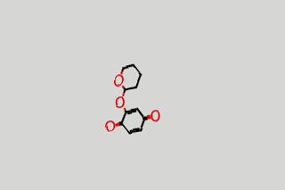 O=C1C=CC(=O)C(OC2CCCCO2)=C1